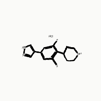 Cl.Fc1cc(-c2cn[nH]c2)cc(F)c1C1CCNCC1